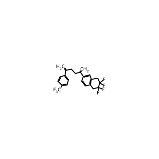 C=C(CCC(=C)c1ccc2c(c1)CC(F)(F)C(F)(F)C2)c1ccc(C(F)(F)F)cc1